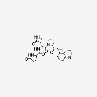 NC(=O)CC(NC(=O)C1CCC(=O)N1)C(=O)N1CCCC1C(=O)Nc1cccc2ncccc12